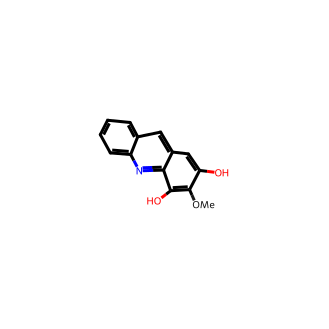 COc1c(O)cc2cc3ccccc3nc2c1O